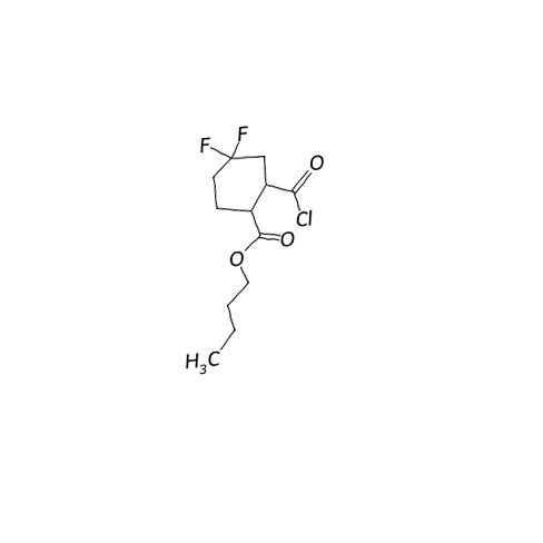 CCCCOC(=O)C1CCC(F)(F)CC1C(=O)Cl